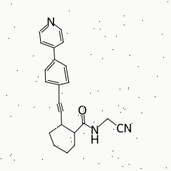 N#CCNC(=O)C1CCCCC1C#Cc1ccc(-c2ccncc2)cc1